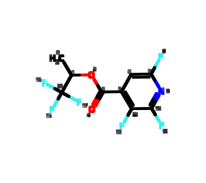 CC(OC(=O)c1cc(F)nc(F)c1F)C(F)(F)F